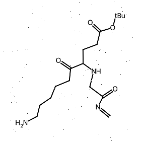 C=NC(=O)CNC(CCC(=O)OC(C)(C)C)C(=O)CCCCCN